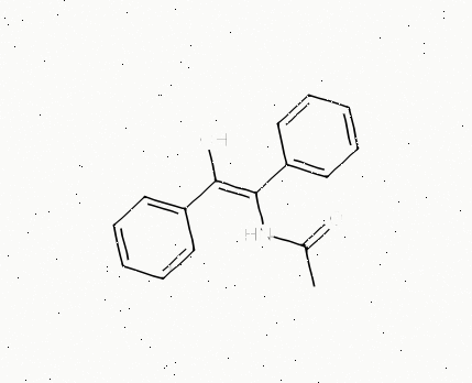 CC(=O)NC(=C(O)c1ccccc1)c1ccccc1